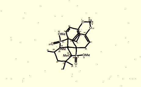 CCOC1=CCC(C2(C3(P(=O)(OC)OC)C=CC(OCC)=CC3)CC(C)CC(C)(C)C2)(P(=O)(OC)OC)C=C1